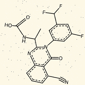 CC(NC(=O)O)c1nc2cccc(C#N)c2c(=O)n1-c1cc(F)cc(C(F)F)c1